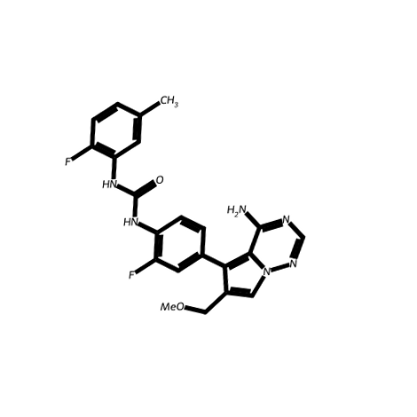 COCc1cn2ncnc(N)c2c1-c1ccc(NC(=O)Nc2cc(C)ccc2F)c(F)c1